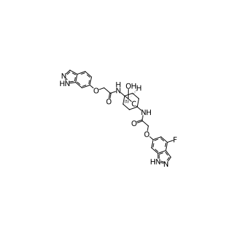 O=C(COc1cc(F)c2cn[nH]c2c1)NC12CCC(NC(=O)COc3ccc4cn[nH]c4c3)(CC1)[C@@H](O)C2